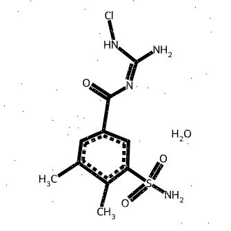 Cc1cc(C(=O)N=C(N)NCl)cc(S(N)(=O)=O)c1C.O